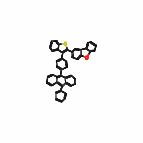 c1ccc(-c2c3ccccc3c(-c3ccc(-c4c(-c5ccc6oc7ccccc7c6c5)sc5ccccc45)cc3)c3ccccc23)cc1